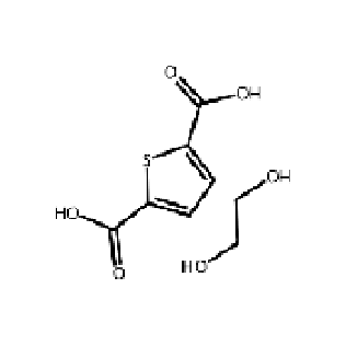 O=C(O)c1ccc(C(=O)O)s1.OCCO